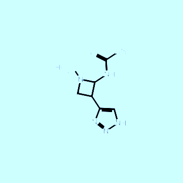 CCCC(=O)NC1C(c2c[nH]nn2)CN1C(=O)O